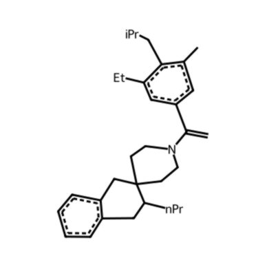 C=C(c1cc(C)c(CC(C)C)c(CC)c1)N1CCC2(CC1)Cc1ccccc1CC2CCC